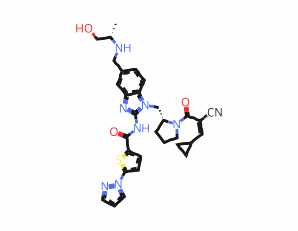 C[C@@H](CO)NCc1ccc2c(c1)nc(NC(=O)c1ccc(-n3cccn3)s1)n2C[C@H]1CCCN1C(=O)C(C#N)=CC1CC1